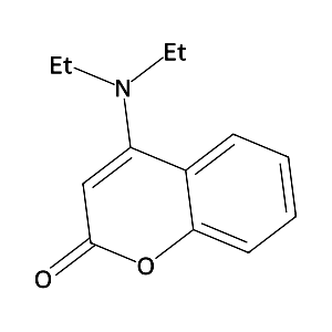 CCN(CC)c1cc(=O)oc2ccccc12